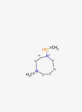 CPN1CCCCN(C)CC1